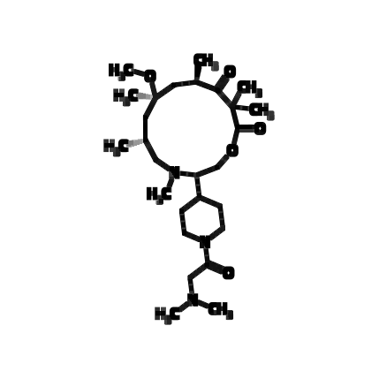 CO[C@]1(C)C[C@@H](C)CN(C)C(C2CCN(C(=O)CN(C)C)CC2)COC(=O)C(C)(C)C(=O)[C@H](C)C1